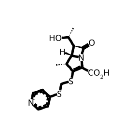 C[C@@H](O)[C@H]1C(=O)N2C(C(=O)O)=C(SCSc3ccncc3)[C@H](C)[C@H]12